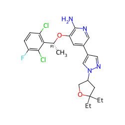 CCC1(CC)CC(n2cc(-c3cnc(N)c(O[C@H](C)c4c(Cl)ccc(F)c4Cl)c3)cn2)CO1